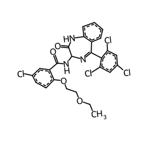 CCOCCOc1ccc(Cl)cc1C(=O)NC1N=C(c2c(Cl)cc(Cl)cc2Cl)c2ccccc2NC1=O